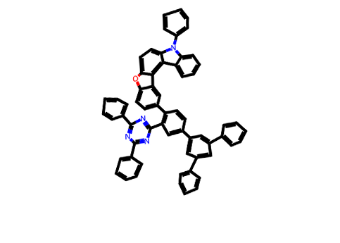 c1ccc(-c2cc(-c3ccccc3)cc(-c3ccc(-c4ccc5oc6ccc7c(c8ccccc8n7-c7ccccc7)c6c5c4)c(-c4nc(-c5ccccc5)nc(-c5ccccc5)n4)c3)c2)cc1